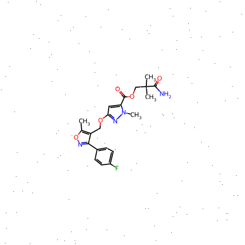 Cc1onc(-c2ccc(F)cc2)c1COc1cc(C(=O)OCC(C)(C)C(N)=O)n(C)n1